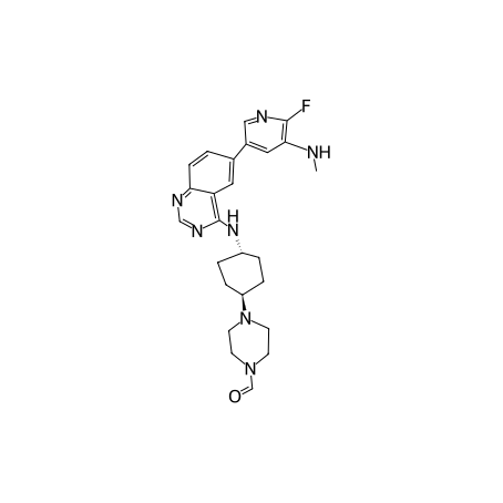 CNc1cc(-c2ccc3ncnc(N[C@H]4CC[C@H](N5CCN(C=O)CC5)CC4)c3c2)cnc1F